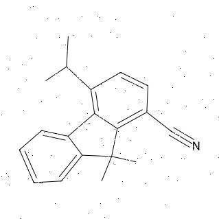 CC(C)c1ccc(C#N)c2c1-c1ccccc1C2(C)C